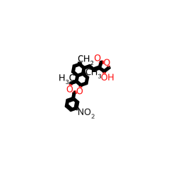 C=C1CCC2C3(C)COC(c4cccc([N+](=O)[O-])c4)OC3CCC2(C)C1CC=C1C(=O)OCC1O